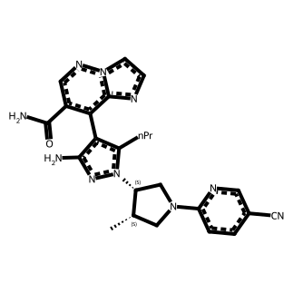 CCCc1c(-c2c(C(N)=O)cnn3ccnc23)c(N)nn1[C@@H]1CN(c2ccc(C#N)cn2)C[C@@H]1C